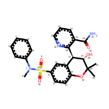 CN(c1ccccc1)S(=O)(=O)c1ccc2c(c1)[C@@H](c1ncccc1C(N)=O)[C@H](O)C(C)(C)O2